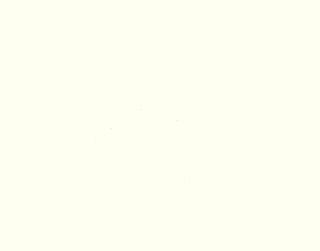 C=C(C)C(=O)OCC(C)(C)COC(=O)C1(C)CCC(CCC)=C(C)C1